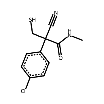 CNC(=O)C(C#N)(CS)c1ccc(Cl)cc1